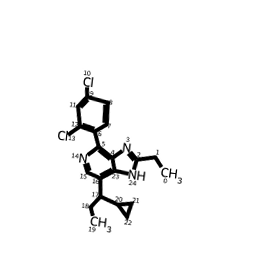 CCc1nc2c(-c3ccc(Cl)cc3Cl)ncc(C(CC)C3CC3)c2[nH]1